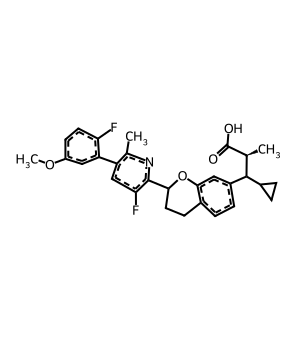 COc1ccc(F)c(-c2cc(F)c(C3CCc4ccc(C(C5CC5)[C@H](C)C(=O)O)cc4O3)nc2C)c1